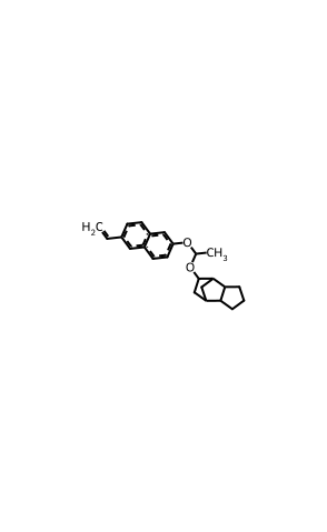 C=Cc1ccc2cc(OC(C)OC3CC4CC3C3CCCC43)ccc2c1